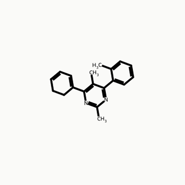 Cc1nc(C2=CC=CCC2)c(C)c(-c2ccccc2C)n1